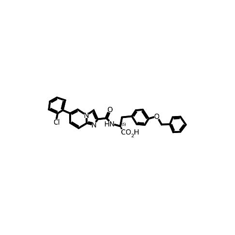 O=C(N[C@@H](Cc1ccc(OCc2ccccc2)cc1)C(=O)O)c1cn2cc(-c3ccccc3Cl)ccc2n1